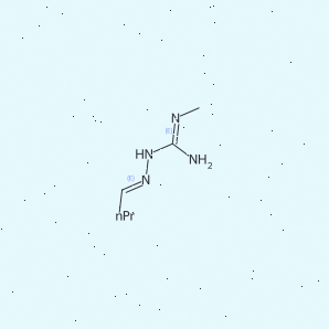 CCC/C=N/N/C(N)=N/C